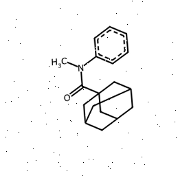 CN(C(=O)C12CC3CC(CC(C3)C1)C2)c1ccccc1